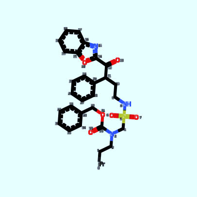 CC(C)CCN(CS(=O)(=O)NCCC(C(=O)c1nc2ccccc2o1)c1ccccc1)C(=O)OCc1ccccc1